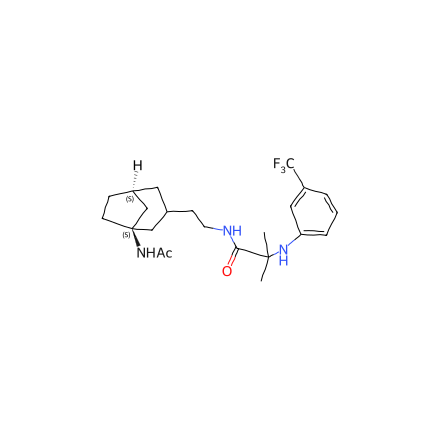 CC(=O)N[C@]12CC[C@@H](CC(CCNC(=O)C(C)(C)Nc3cccc(C(F)(F)F)c3)C1)C2